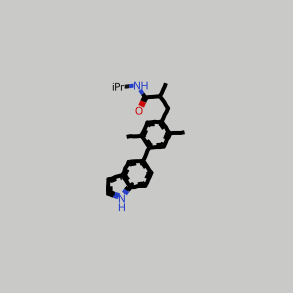 Cc1cc(-c2ccc3[nH]ccc3c2)c(C)cc1CC(C)C(=O)NC(C)C